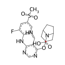 CS(=O)(=O)c1ccc(Nc2ncnc(OC3CC4CCC(C3)N4C(=O)O)c2C=N)c(F)c1